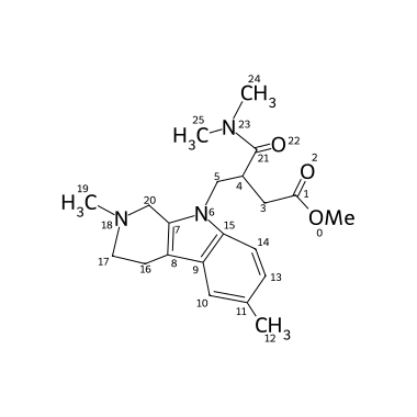 COC(=O)CC(Cn1c2c(c3cc(C)ccc31)CCN(C)C2)C(=O)N(C)C